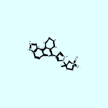 CC1(n2cc(-c3nc4ccc5[nH]ncc5c4c4c3CCCC4)cn2)CCS(=O)(=O)C1